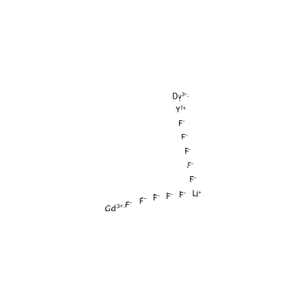 [Dy+3].[F-].[F-].[F-].[F-].[F-].[F-].[F-].[F-].[F-].[F-].[Gd+3].[Li+].[Y+3]